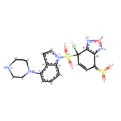 O=S(=O)=C1C=CC(Cl)(S(=O)(=O)n2ccc3c(N4CCNCC4)cccc32)c2nonc21